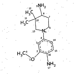 COc1cc(N2CCC(N)C(C)(C)C2)ccc1N